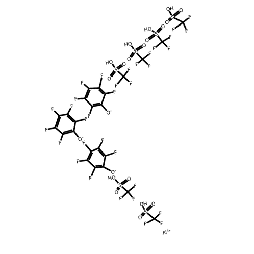 O=S(=O)(O)C(F)(F)F.O=S(=O)(O)C(F)(F)F.O=S(=O)(O)C(F)(F)F.O=S(=O)(O)C(F)(F)F.O=S(=O)(O)C(F)(F)F.O=S(=O)(O)C(F)(F)F.[Al+3].[O-]c1c(F)c(F)c(F)c(F)c1F.[O-]c1c(F)c(F)c(F)c(F)c1F.[O-]c1c(F)c(F)c(F)c(F)c1F